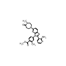 COC(=O)c1ccc(-n2c(-c3cccnc3N)nc3ccc(N4CCC(=O)N(C)CC4)nc32)cc1C